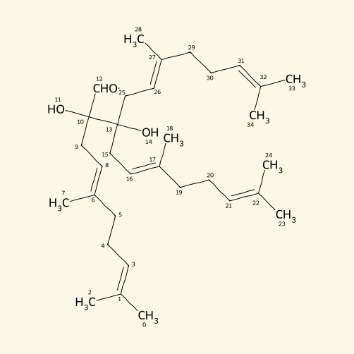 CC(C)=CCC/C(C)=C/CC(O)([C]=O)C(O)(C/C=C(\C)CCC=C(C)C)C/C=C(\C)CCC=C(C)C